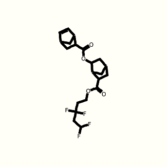 O=C(OC1CC2CC(C(=O)OCCC(F)(F)CC(F)F)C1C2)C1CC2C=CC1C2